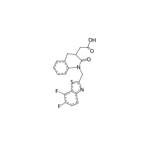 O=C(O)CC1Cc2ccccc2N(Cc2nc3ccc(F)c(F)c3s2)C1=O